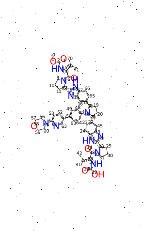 COC(=O)N[C@H](C(=O)N1CCC[C@H]1c1nc2cc([C@H]3CC[C@H](c4ccc5[nH]c([C@@H]6CCCN6C(=O)[C@@H](NC(=O)O)C(C)C)nc5c4)N3c3ccc(-c4ccc(N5CCOCC5)nc4)cc3)ccc2[nH]1)C(C)C